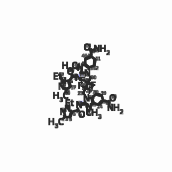 CCn1nc(C)cc1C(=O)/N=c1\n(C)c2cc(C(N)=O)ccc2n1CC(F)(F)C(F)(F)Cn1/c(=N/C(=O)c2cc(C)nn2CC)n(C)c2cc(C(N)=O)ccc21